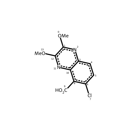 COc1nc2ccc(Cl)c(C(=O)O)c2nc1OC